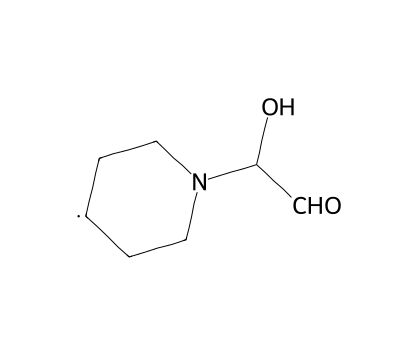 O=CC(O)N1CC[CH]CC1